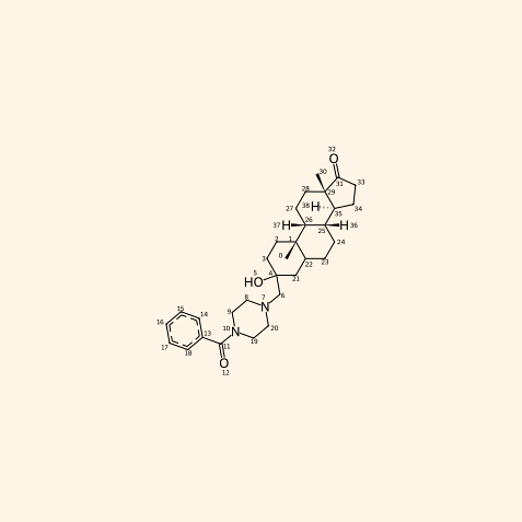 C[C@]12CCC(O)(CN3CCN(C(=O)c4ccccc4)CC3)CC1CC[C@@H]1[C@H]2CC[C@]2(C)C(=O)CC[C@@H]12